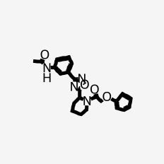 CC(=O)Nc1cccc(-c2noc(C3CCCCN3C(=O)COc3ccccc3)n2)c1